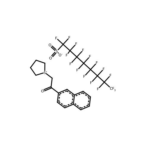 O=C(C[S+]1CCCC1)c1ccc2ccccc2c1.O=S(=O)([O-])C(F)(F)C(F)(F)C(F)(F)C(F)(F)C(F)(F)C(F)(F)C(F)(F)C(F)(F)F